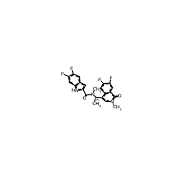 C[C@H](c1cn(C)c(=O)c2cc(F)c(F)cc12)N(C)C(=O)c1cc2cc(F)c(F)cc2[nH]1